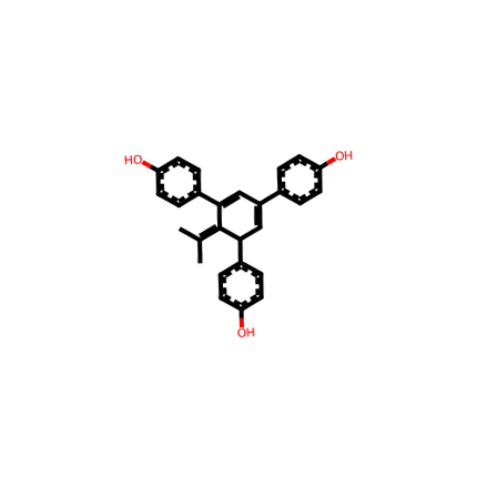 CC(C)=C1C(c2ccc(O)cc2)=CC(c2ccc(O)cc2)=CC1c1ccc(O)cc1